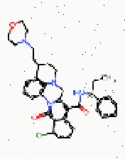 CC[C@H](NC(=O)c1c(CN2CCC(CCN3CCOCC3)CC2)n(-c2ccccc2)c(=O)c2c(Cl)cccc12)c1ccccc1